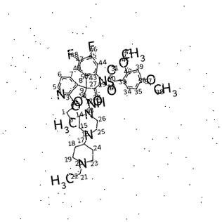 CCOc1ncccc1C1(C(=O)NN2CCN(C3CCN(CC)CC3)CC2)C(=O)N(S(=O)(=O)c2ccc(OC)cc2OC)c2cc(F)c(F)cc21